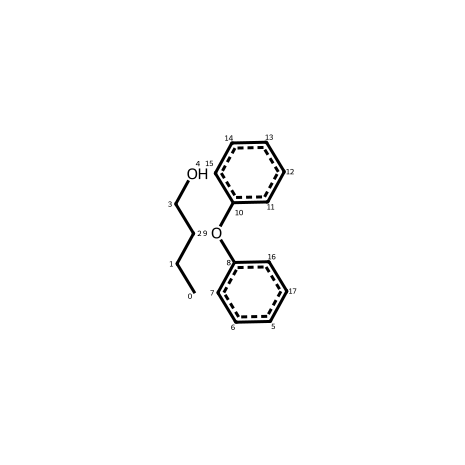 CCCCO.c1ccc(Oc2ccccc2)cc1